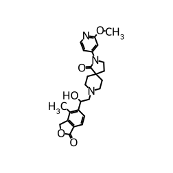 COc1cc(N2CCC3(CCN(CC(O)c4ccc5c(c4C)COC5=O)CC3)C2=O)ccn1